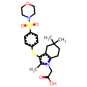 Cc1c(Sc2ccc(S(=O)(=O)N3CCOCC3)cc2)c2c(n1CC(=O)O)CCC(C)(C)C2